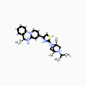 CC(C)N1C[C@@H]2C[C@H]1CN2c1nc(-c2ccnc(N[C@@H](C)c3ccccc3)c2)cs1